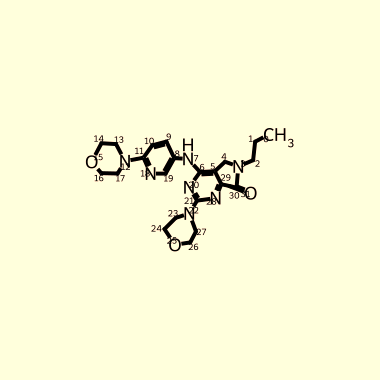 CCCN1Cc2c(Nc3ccc(N4CCOCC4)nc3)nc(N3CCOCC3)nc2C1=O